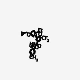 CC[C@@H](Oc1ccc(C(=O)NS(=O)(=O)N2CCN(C)CC2)cc1C(F)(F)F)c1ccc(OCC2CC2)cn1